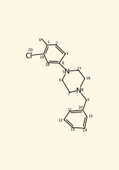 Cc1ccc(N2CCN(Cc3ccccc3)CC2)cc1Cl